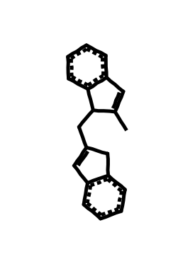 CC1=Cc2ccccc2C1CC1=Cc2ccccc2C1